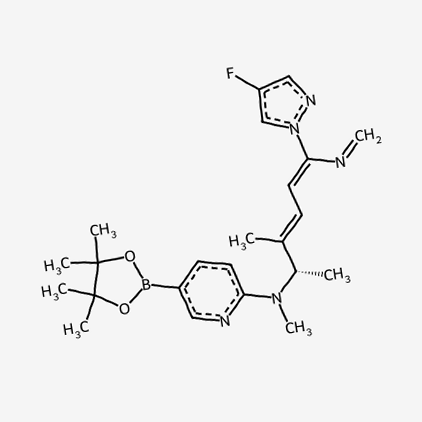 C=N/C(=C\C=C(/C)[C@H](C)N(C)c1ccc(B2OC(C)(C)C(C)(C)O2)cn1)n1cc(F)cn1